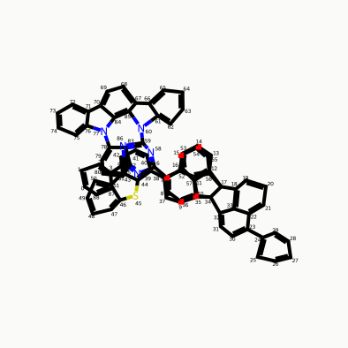 c1ccc(-c2nc(-c3ccc4c5c(cccc35)C35c6cccc7c(-c8ccccc8)ccc(c67)C43c3ccc(-c4cccc6c4sc4ccccc46)c4cccc5c34)nc(-n3c4ccccc4c4ccc5c6ccccc6n(-c6ccccc6)c5c43)n2)cc1